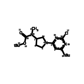 CCCCc1cc(N2CCC(N(C)C(=O)OC(C)(C)C)C2)nc(Cl)n1